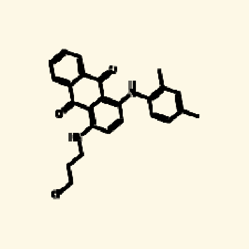 Cc1ccc(Nc2ccc(NCCCCl)c3c2C(=O)c2ccccc2C3=O)c(C)c1